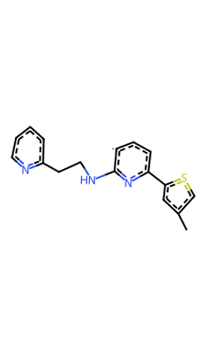 Cc1csc(-c2cc[c]c(NCCc3ccccn3)n2)c1